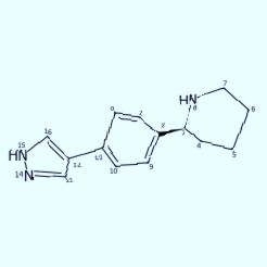 c1cc([C@@H]2CCCCN2)ccc1-c1cn[nH]c1